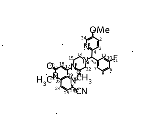 COc1ccc(C(c2cccc(F)c2)N2CCN(c3cc(=O)n(C)c4ccc(C#N)nc34)[C@@H](C)C2)nc1